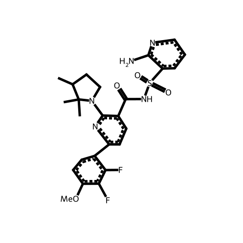 COc1ccc(-c2ccc(C(=O)NS(=O)(=O)c3cccnc3N)c(N3CCC(C)C3(C)C)n2)c(F)c1F